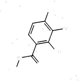 CNC(=O)c1ccc(C)c(N)c1C